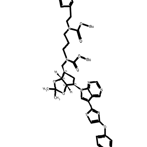 CC(C)(C)OC(=O)N(CCCN(C[C@H]1C[C@@H](n2cc(-c3nc(Oc4ccccc4)cs3)c3cncnc32)[C@@H]2OC(C)(C)O[C@H]12)C(=O)OC(C)(C)C)CCc1ccccc1